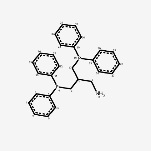 NCC(CP(c1ccccc1)c1ccccc1)CP(c1ccccc1)c1ccccc1